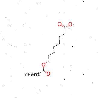 CCCCCC(=O)OCCCCCCCC([O])=O